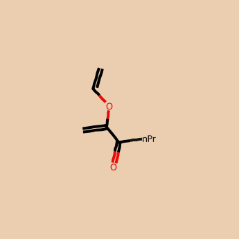 C=COC(=C)C(=O)CCC